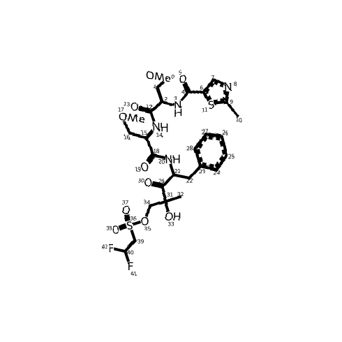 COCC(NC(=O)c1cnc(C)s1)C(=O)NC(COC)C(=O)NC(Cc1ccccc1)C(=O)C(C)(O)COS(=O)(=O)CC(F)F